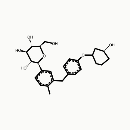 Cc1ccc([C@@H]2O[C@H](CO)[C@@H](O)[C@H](O)[C@H]2O)cc1Cc1ccc(OC2CCC[C@@H](O)C2)cc1